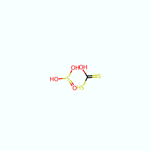 O=S(O)O.OC(=S)S